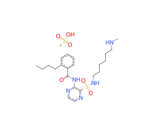 CCCCc1ccccc1C(=O)Nc1nccnc1S(=O)(=O)NCCCCCCNC.CS(=O)(=O)O